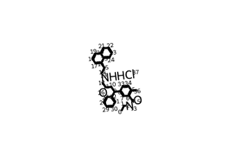 CCN(C)C(=O)c1cc(C2CC(CNCCc3cccc4ccccc34)Oc3ccccc32)ccc1C.Cl